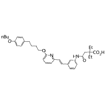 CCCCOc1ccc(CCCCOc2cccc(C=Cc3cccc(NC(=O)CC(CC)(CC)C(=O)O)c3)n2)cc1